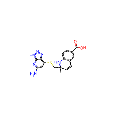 CC1(CSc2cc(N)nc3[nH]nnc23)C=Cc2cc(C(=O)O)ccc2N1